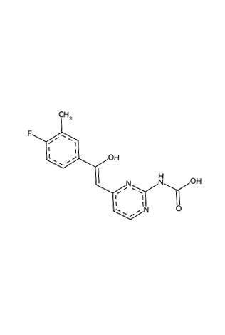 Cc1cc(C(O)=Cc2ccnc(NC(=O)O)n2)ccc1F